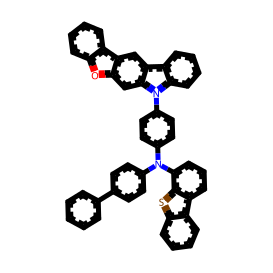 c1ccc(-c2ccc(N(c3ccc(-n4c5ccccc5c5cc6c(cc54)oc4ccccc46)cc3)c3cccc4c3sc3ccccc34)cc2)cc1